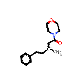 [CH2-][C+](CCc1ccccc1)CC(=O)N1CCOCC1